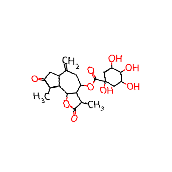 C=C1CC(OC(=O)C2(O)CC(O)C(O)C(O)C2)C2C(C)C(=O)OC2C2C(C)C(=O)CC12